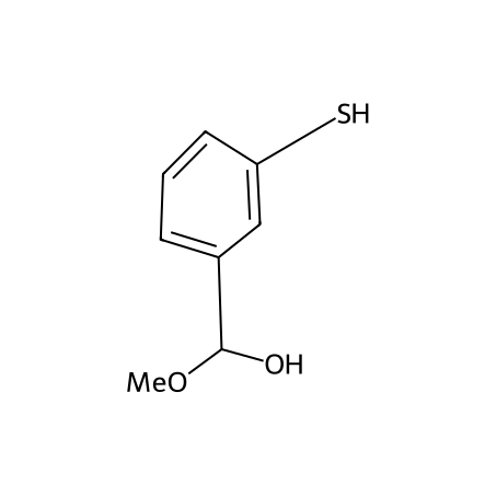 COC(O)c1cccc(S)c1